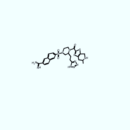 CC1Cc2nc(C(=O)N3CCN(S(=O)(=O)c4ccc5cc(C(=N)N)ccc5c4)CC3CCc3nnn[nH]3)sc2CN1